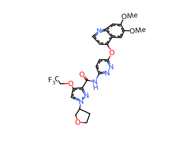 COc1cc2nccc(Oc3ccc(NC(=O)c4nn(C5CCOC5)cc4OCC(F)(F)F)nn3)c2cc1OC